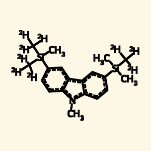 [2H]C([2H])([2H])[Si](C)(C)c1ccc2c(c1)c1cc([Si](C)(C([2H])([2H])[2H])C([2H])([2H])[2H])ccc1n2C